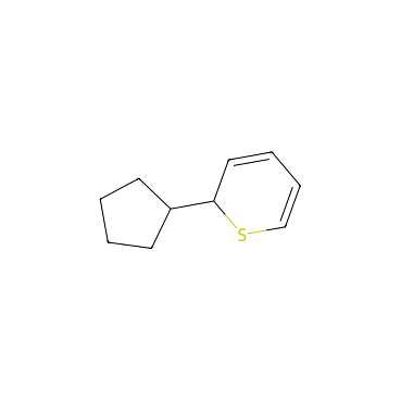 C1=CSC(C2CCCC2)C=C1